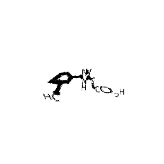 C#Cc1cccc(-c2nnc(SCC(=O)O)[nH]2)c1